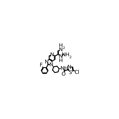 N/C=C(\NN)c1cc2c(cn1)nc(-c1ccccc1F)n2[C@@H]1CCC[C@H](NC(=O)c2ncc(Cl)s2)C1